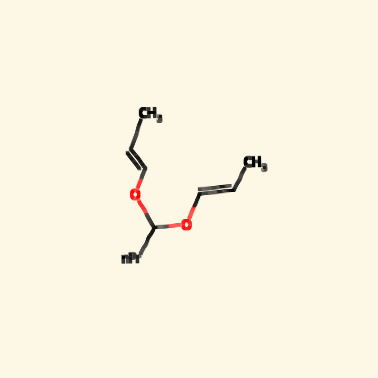 CC=COC(CCC)OC=CC